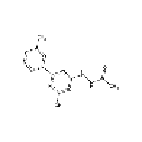 CC(=O)NNc1nc(O)nc(-c2cc(C)ccn2)n1